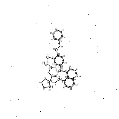 CN(C)CC(=O)[C@]1(COc2cccc3ncnc(Nc4ccc(OCc5ccccn5)c(Cl)c4)c23)CCCN1